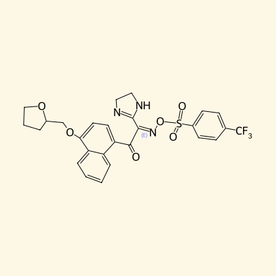 O=C(/C(=N/OS(=O)(=O)c1ccc(C(F)(F)F)cc1)C1=NCCN1)c1ccc(OCC2CCCO2)c2ccccc12